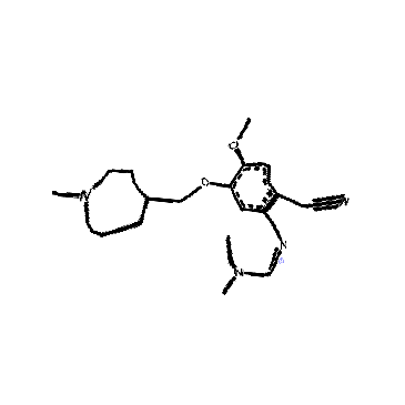 COc1cc(C#N)c(/N=C\N(C)C)cc1OCC1CCN(C)CC1